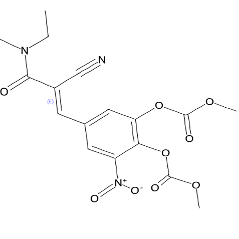 CCN(CC)C(=O)/C(C#N)=C/c1cc(OC(=O)OC)c(OC(=O)OC)c([N+](=O)[O-])c1